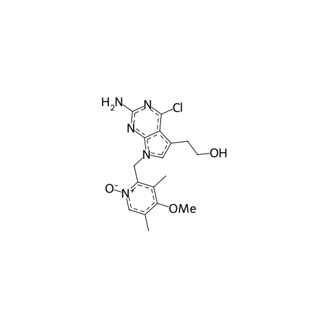 COc1c(C)c[n+]([O-])c(Cn2cc(CCO)c3c(Cl)nc(N)nc32)c1C